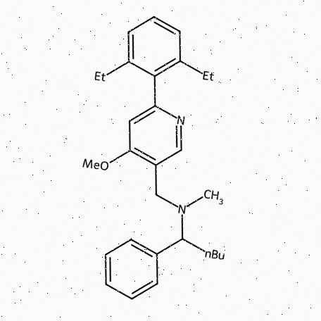 CCCCC(c1ccccc1)N(C)Cc1cnc(-c2c(CC)cccc2CC)cc1OC